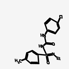 CCN=S(=O)(NC(=O)Nc1ccc(Cl)cc1)c1ccc(C)cc1